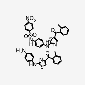 Cc1ccccc1C(=O)c1cnc(Nc2ccc(NS(=O)(=O)c3ccc([N+](=O)[O-])cc3)cc2)s1.Cc1ccccc1C(=O)c1csc(Nc2ccc(N)cc2)n1